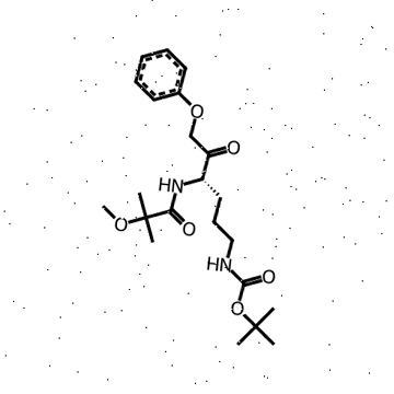 COC(C)(C)C(=O)N[C@@H](CCCNC(=O)OC(C)(C)C)C(=O)COc1ccccc1